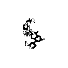 COc1cc(-c2cc(F)cc(C(C)C)c2CC(=O)NS(=O)(=O)c2ccn(CC(C)(C)OC)n2)ccn1